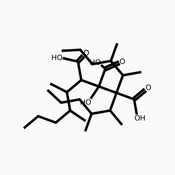 CCCC(C)C(C)C(C(=O)O)C(O)(C(=O)O)C(C(=O)O)(C(C)C(C)CCC)C(C)C(C)CCC